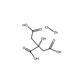 O=C(O)CC(O)(CC(=O)O)C(=O)O.[Cl][Zn]